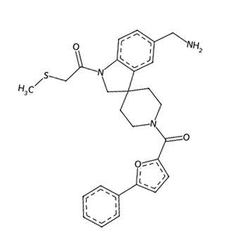 CSCC(=O)N1CC2(CCN(C(=O)c3ccc(-c4ccccc4)o3)CC2)c2cc(CN)ccc21